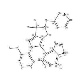 CCc1cccc(CC)c1-n1nc2c(c1-c1ccc(F)c3[nH]ccc13)CN(Cc1cccnc1)C2(C)C